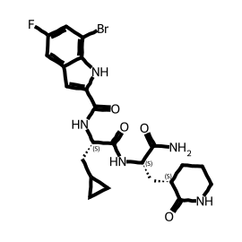 NC(=O)[C@H](C[C@@H]1CCCNC1=O)NC(=O)[C@H](CC1CC1)NC(=O)c1cc2cc(F)cc(Br)c2[nH]1